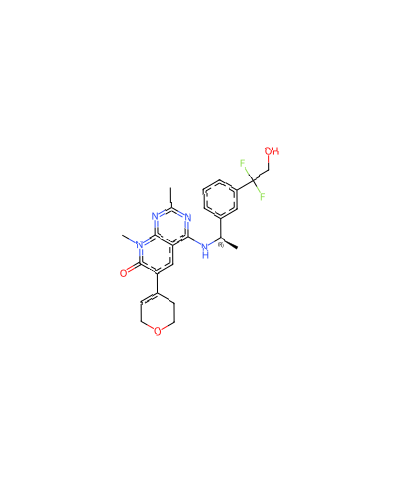 Cc1nc(N[C@H](C)c2cccc(C(F)(F)CO)c2)c2cc(C3=CCOCC3)c(=O)n(C)c2n1